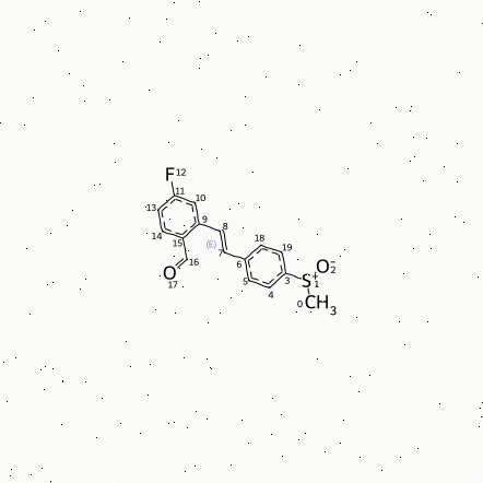 C[S+]([O-])c1ccc(/C=C/c2cc(F)ccc2C=O)cc1